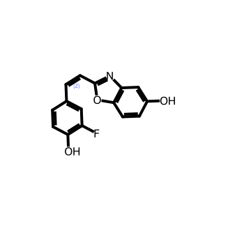 Oc1ccc2oc(/C=C\c3ccc(O)c(F)c3)nc2c1